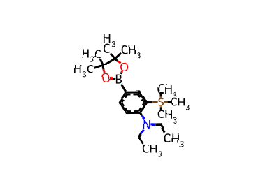 CCN(CC)c1ccc(B2OC(C)(C)C(C)(C)O2)cc1S(C)(C)C